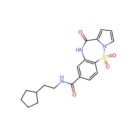 O=C(NCCC1CCCC1)c1ccc2c(c1)NC(=O)c1cccn1S2(=O)=O